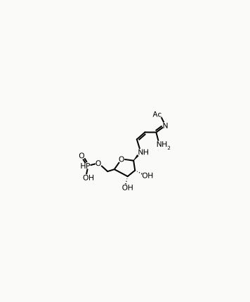 CC(=O)/N=C(N)\C=C/N[C@@H]1OC(CO[PH](=O)O)[C@@H](O)[C@H]1O